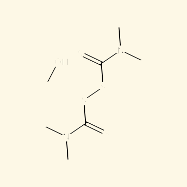 CN(C)C(=S)SSC(=S)N(C)C.CO